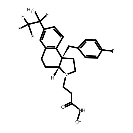 CNC(=O)CCN1CC[C@@]2(Cc3ccc(F)cc3)c3ccc(C(C)(F)C(F)(F)F)cc3CC[C@@H]12